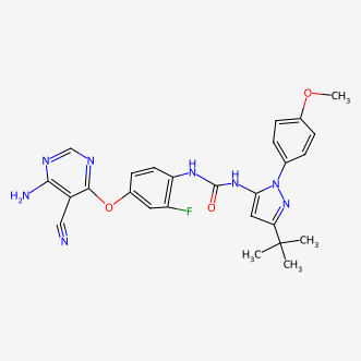 COc1ccc(-n2nc(C(C)(C)C)cc2NC(=O)Nc2ccc(Oc3ncnc(N)c3C#N)cc2F)cc1